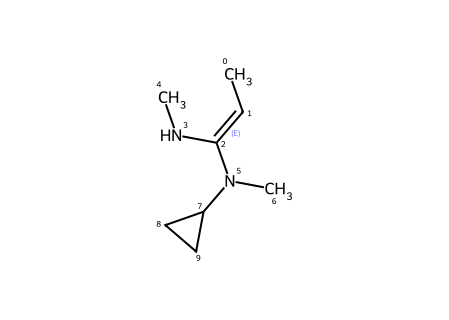 C/C=C(\NC)N(C)C1CC1